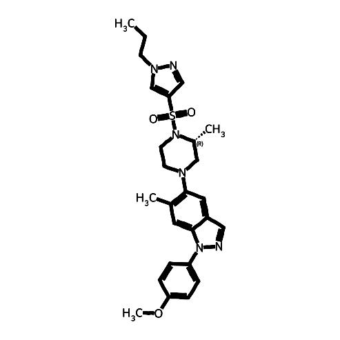 CCCn1cc(S(=O)(=O)N2CCN(c3cc4cnn(-c5ccc(OC)cc5)c4cc3C)C[C@H]2C)cn1